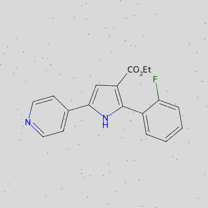 CCOC(=O)c1cc(-c2ccncc2)[nH]c1-c1ccccc1F